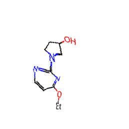 CCOc1ccnc(N2CCC(O)C2)n1